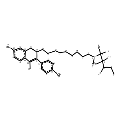 CCC(F)C(F)(F)C(F)(F)[S+]([O-])CCCCCCCCCC1Cc2cc(O)ccc2C(C)=C1c1ccc(O)cc1